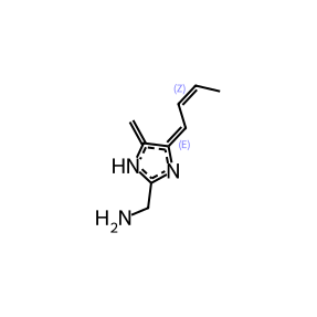 C=c1[nH]c(CN)n/c1=C/C=C\C